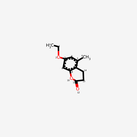 CCOc1cc(C)c2c(c1)OC(=O)CC2